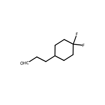 O=CCCC1CCC(F)(F)CC1